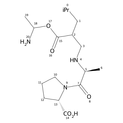 CC(C)CC(CN[C@@H](C)C(=O)N1CCC[C@H]1C(=O)O)C(=O)OC(C)N